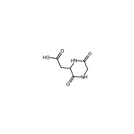 O=C(O)CC1NC(=O)CNC1=O